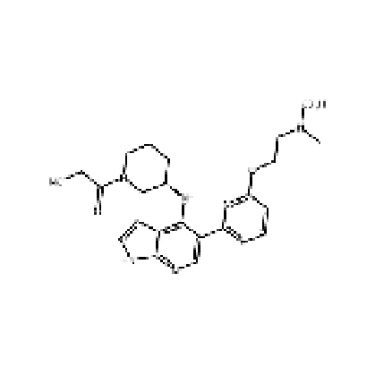 CN(CCOc1cccc(-c2cnc3[nH]ccc3c2N[C@@H]2CCCN(C(=O)CC#N)C2)n1)C(=O)O